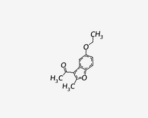 CCOc1ccc2oc(C)c(C(C)=O)c2c1